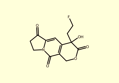 O=C1CCn2c1cc1c(c2=O)COC(=O)C1(O)CCF